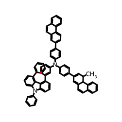 CC1C=C(c2ccc(N(c3ccc(-c4ccc5c(ccc6ccccc65)c4)cc3)c3cccc(-c4cccc5c4c4c(-c6ccccc6)cccc4n5-c4ccccc4)c3)cc2)C=C2C=Cc3ccccc3C21